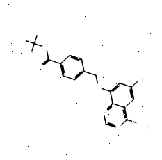 Cc1ncnc2c(OCc3ccc(C(=O)OC(C)(C)C)cc3)cc(Br)cc12